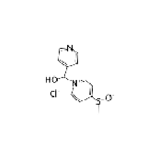 C[S+]([O-])c1cc[n+](C(O)c2ccncc2)cc1.[Cl-]